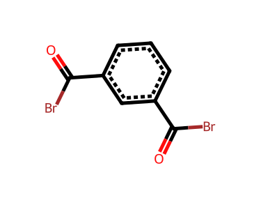 O=C(Br)c1cccc(C(=O)Br)c1